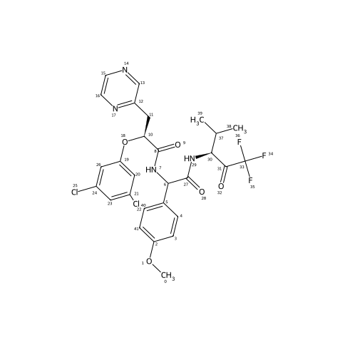 COc1ccc(C(NC(=O)[C@H](Cc2cnccn2)Oc2cc(Cl)cc(Cl)c2)C(=O)N[C@H](C(=O)C(F)(F)F)C(C)C)cc1